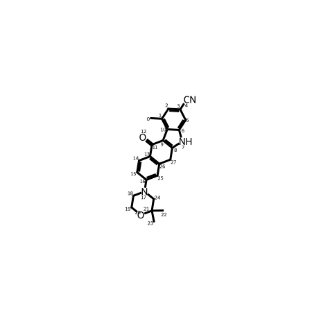 Cc1cc(C#N)cc2[nH]c3c(c12)C(=O)c1ccc(N2CCOC(C)(C)C2)cc1C3